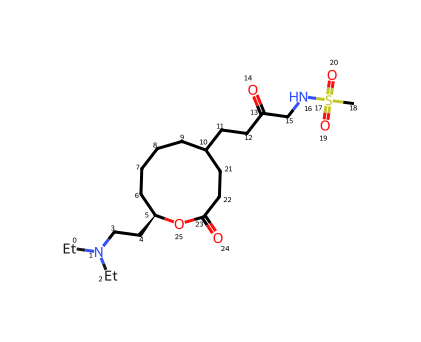 CCN(CC)CC[C@H]1CCCCC(CCC(=O)CNS(C)(=O)=O)CCC(=O)O1